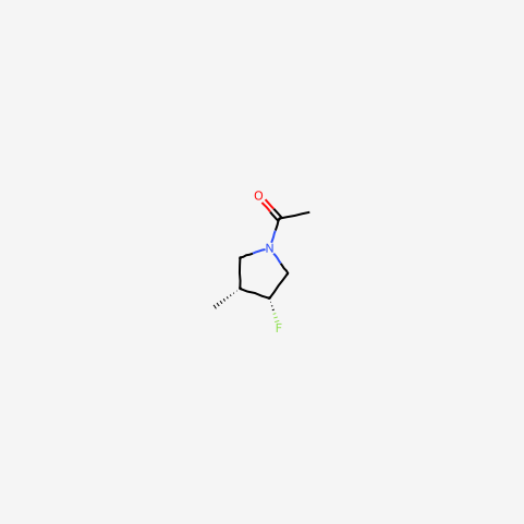 CC(=O)N1C[C@@H](C)[C@@H](F)C1